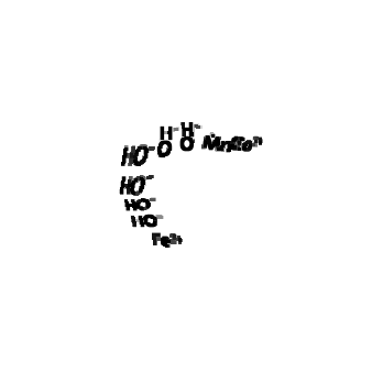 [Co+2].[Fe+2].[Mn+2].[OH-].[OH-].[OH-].[OH-].[OH-].[OH-]